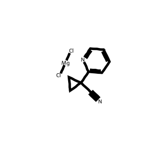 N#CC1(c2cc[c]cn2)CC1.[Cl][Mg][Cl]